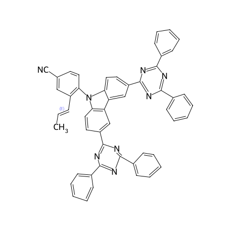 C/C=C/c1cc(C#N)ccc1-n1c2ccc(-c3nc(-c4ccccc4)nc(-c4ccccc4)n3)cc2c2cc(-c3nc(-c4ccccc4)nc(-c4ccccc4)n3)ccc21